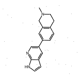 CN1CCc2ccc(-c3cnc4[nH]ccc4c3)cc2C1